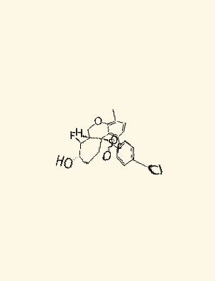 Cc1ccc(F)c2c1OC[C@H]1[C@H](F)[C@@H](O)CC[C@@]21S(=O)(=O)c1ccc(Cl)cc1